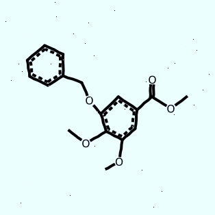 COC(=O)c1cc(OC)c(OC)c(OCc2ccccc2)c1